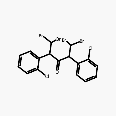 O=C(C(c1ccccc1Cl)C(Br)Br)C(c1ccccc1Cl)C(Br)Br